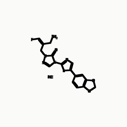 Cl.NC/C(=C/F)Cn1ncn(-c2ncc(-c3ccc4c(c3)OCO4)s2)c1=O